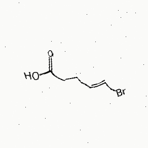 O=C(O)CCC=CBr